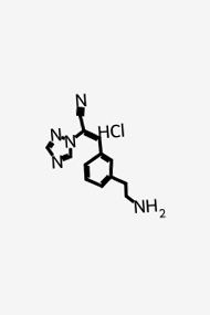 Cl.N#C/C(=C/c1cccc(CCN)c1)n1cncn1